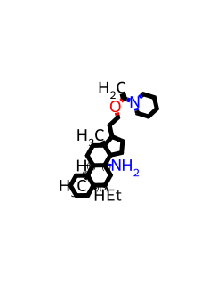 C=C(OCCC1CCC2C1(C)CC[C@@H]1[C@@]3(C)CCCC[C@H]3[C@@H](CC)C[C@@]21N)N1CCCCC1